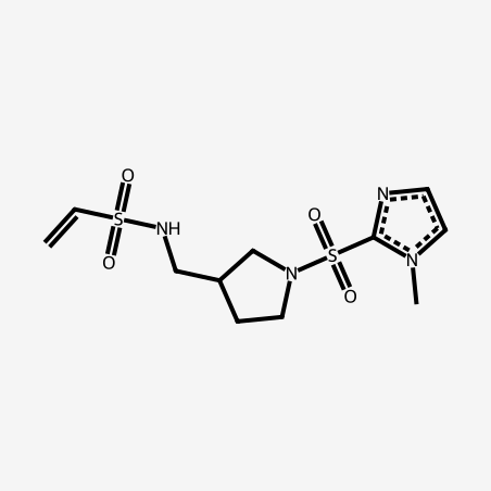 C=CS(=O)(=O)NCC1CCN(S(=O)(=O)c2nccn2C)C1